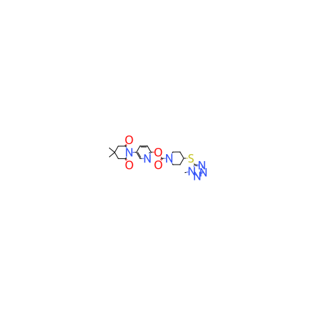 Cn1nnnc1SC1CCN(C(=O)Oc2ccc(N3C(=O)CC(C)(C)CC3=O)cn2)CC1